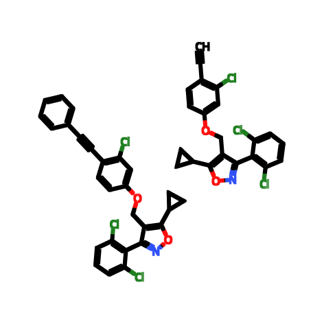 C#Cc1ccc(OCc2c(-c3c(Cl)cccc3Cl)noc2C2CC2)cc1Cl.Clc1cc(OCc2c(-c3c(Cl)cccc3Cl)noc2C2CC2)ccc1C#Cc1ccccc1